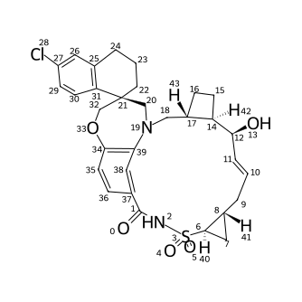 O=C1NS(=O)(=O)[C@@H]2C[C@H]2C/C=C/[C@H](O)[C@@H]2CC[C@H]2CN2C[C@@]3(CCCc4cc(Cl)ccc43)COc3ccc1cc32